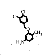 Cc1ccc(N)cc1OCc1ccc(Cl)c(Cl)c1